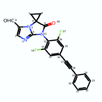 O=Cc1cnc2n1C1(CC1)C(=O)N2c1c(F)cc(C#Cc2ccccc2)cc1F